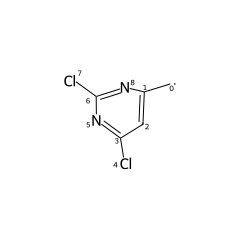 [CH2]c1cc(Cl)nc(Cl)n1